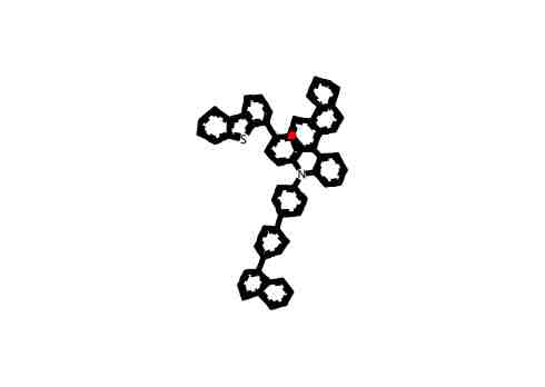 c1ccc(N(c2ccc(-c3ccc(-c4cccc5ccccc45)cc3)cc2)c2ccc(-c3cccc4c3sc3ccccc34)cc2)c(-c2cccc3c2ccc2ccccc23)c1